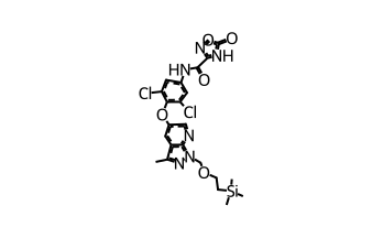 Cc1nn(COCC[Si](C)(C)C)c2ncc(Oc3c(Cl)cc(NC(=O)c4noc(=O)[nH]4)cc3Cl)cc12